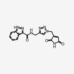 O=C1C=C(Cn2cc(CNC(=O)c3n[nH]c4ccccc34)nn2)C(=O)N1